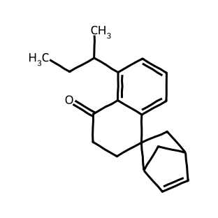 CCC(C)c1cccc2c1C(=O)CCC21CC2C=CC1C2